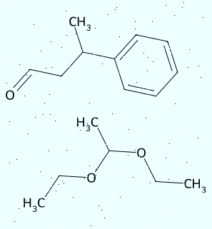 CC(CC=O)c1ccccc1.CCOC(C)OCC